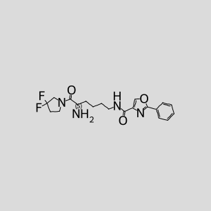 N[C@@H](CCCCNC(=O)c1coc(-c2ccccc2)n1)C(=O)N1CCC(F)(F)C1